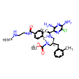 C=C(NC[C@@H](Cc1ccccc1C)CN(Cc1ccc(C(=O)NCCNCCCCCC)cc1)C(=O)OC(C)(C)C)c1nc(Cl)c(N)nc1N